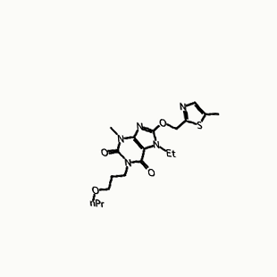 CCCOCCCn1c(=O)c2c(nc(OCc3ncc(C)s3)n2CC)n(C)c1=O